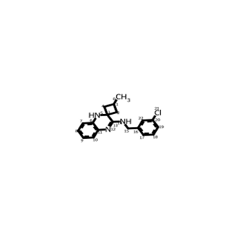 CC1CC2(C1)Nc1ccccc1N=C2NCc1cccc(Cl)c1